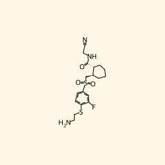 N#CCNC(=O)[C@@H]1CCCC[C@H]1CS(=O)(=O)c1ccc(SCCN)c(F)c1